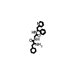 NC(CC1CCCCC1)C(=O)NCC(=O)NC(Cc1ccccn1)c1ccccc1